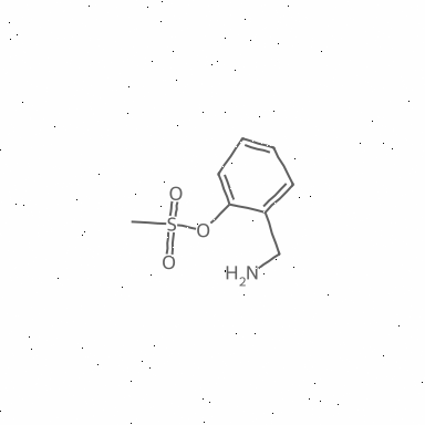 CS(=O)(=O)Oc1ccccc1CN